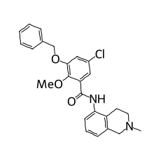 COc1c(OCc2ccccc2)cc(Cl)cc1C(=O)Nc1cccc2c1CCN(C)C2